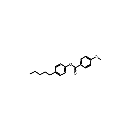 CCCCCc1ccc(OC(=O)c2ccc(OC)cc2)cc1